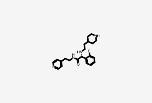 O=C(NCCc1ccncc1)[C@H](NCCC1CCNCC1)c1ccccc1F